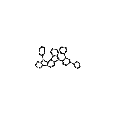 c1ccc(-c2ccc(-n3c4ccccc4c4c3ccc3c5ccccc5n(-c5ccccc5)c34)c(-c3ccccc3)c2)cc1